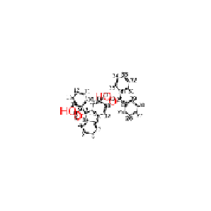 OOC(c1ccccc1)(c1ccccc1)c1ccccc1.OOC(c1ccccc1)c1ccccc1